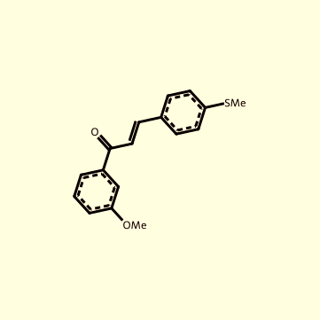 COc1cccc(C(=O)C=Cc2ccc(SC)cc2)c1